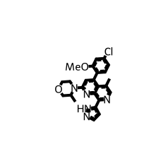 COc1cc(Cl)ccc1-c1cc(N2CCOCC2C)nc2c(-c3ccn[nH]3)ncc(C)c12